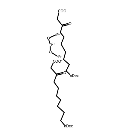 CC(C)[O][Ti+2][O]C(C)C.CCCCCCCCCCCCCCCCCC(=O)CC(=O)[O-].CCCCCCCCCCCCCCCCCC(=O)CC(=O)[O-]